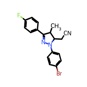 CC1C(c2ccc(F)cc2)=NN(c2ccc(Br)cc2)C1CC#N